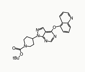 CC(C)(C)OC(=O)N1CCC(n2ncc3c(Oc4cccc5ncccc45)ncnc32)CC1